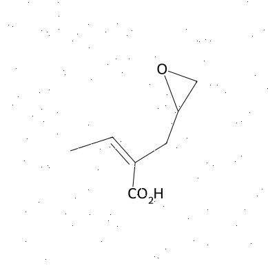 CC=C(CC1CO1)C(=O)O